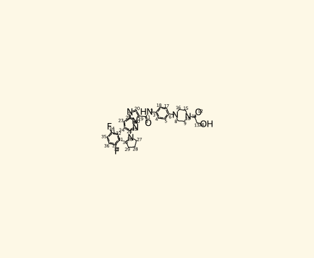 O=C(Nc1ccc(N2CCN(C(=O)CO)CC2)cc1)c1cnc2ccc(N3CCC[C@@H]3c3cc(F)ccc3F)nn12